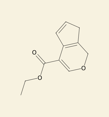 CCOC(=O)C1=COCC2=C1C=CC2